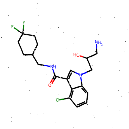 NCC(O)Cn1cc(C(=O)NCC2CCC(F)(F)CC2)c2c(Cl)cccc21